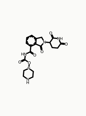 O=C1CCC(N2Cc3cccc(C(=O)NC(=O)ON4CCNCC4)c3C2=O)C(=O)N1